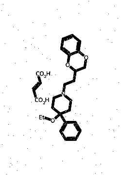 CCOC1(c2ccccc2)CCN(CCC2COc3ccccc3O2)CC1.O=C(O)C=CC(=O)O